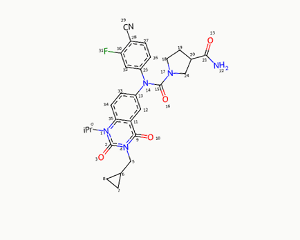 CC(C)n1c(=O)n(CC2CC2)c(=O)c2cc(N(C(=O)N3CCC(C(N)=O)C3)c3ccc(C#N)c(F)c3)ccc21